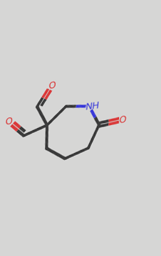 O=CC1(C=O)CCCC(=O)NC1